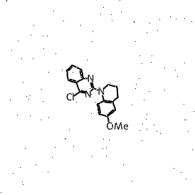 COc1ccc2c(c1)CCCN2c1nc(Cl)c2ccccc2n1